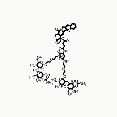 CC[C@@]1(OC(=O)CCC(=O)NC(CC(=O)NCCOCCO[C@H]2O[C@@H](CO)[C@@H](O)[C@H](O)[C@@H]2C[C@H]2O[C@H](CO)[C@@H](O)[C@H](OC(N)=O)[C@@H]2O)C(=O)NCCOCCO[C@H]2O[C@@H](CO)[C@@H](O)[C@H](O)[C@@H]2O[C@H]2O[C@H](CO)[C@@H](O)[C@H](OC(N)=O)[C@@H]2O)C(=O)OCc2c1cc1n(c2=O)Cc2cc3ccccc3nc2-1